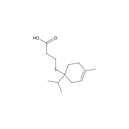 CC1=CCC(SCCC(=O)O)(C(C)C)CC1